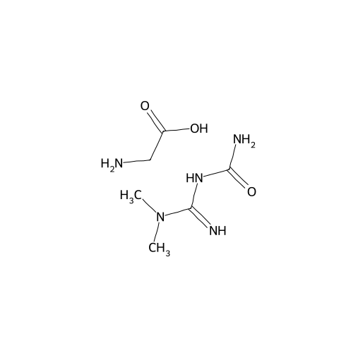 CN(C)C(=N)NC(N)=O.NCC(=O)O